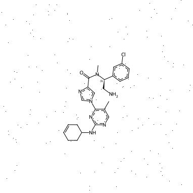 Cc1cnc(NC2CC=CCC2)nc1-n1cnc(C(=O)N(C)[C@H](CN)c2cccc(Cl)c2)c1